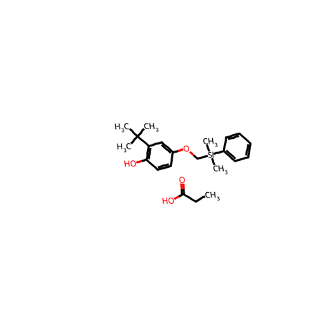 CC(C)(C)c1cc(OC[Si](C)(C)c2ccccc2)ccc1O.CCC(=O)O